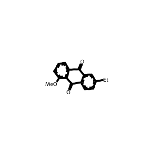 CCc1ccc2c(c1)C(=O)c1cccc(OC)c1C2=O